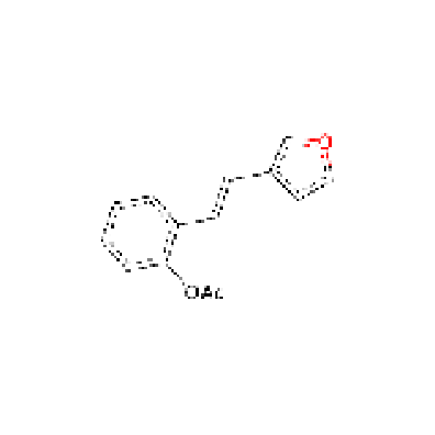 CC(=O)Oc1ccccc1/C=C/c1[c]occ1